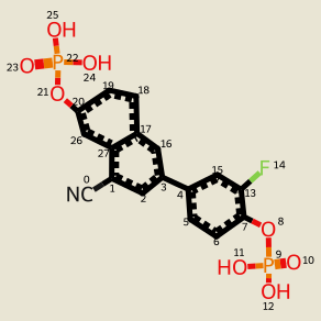 N#Cc1cc(-c2ccc(OP(=O)(O)O)c(F)c2)cc2ccc(OP(=O)(O)O)cc12